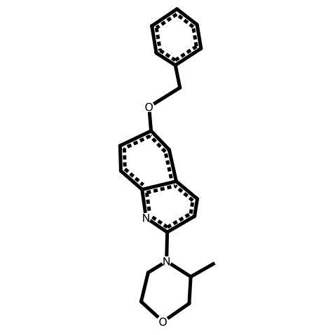 CC1COCCN1c1ccc2cc(OCc3ccccc3)ccc2n1